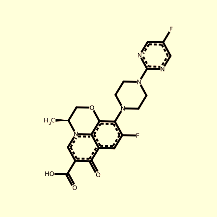 C[C@H]1COc2c(N3CCN(c4ncc(F)cn4)CC3)c(F)cc3c(=O)c(C(=O)O)cn1c23